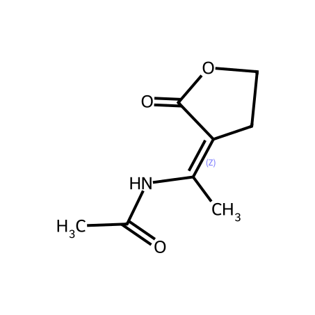 CC(=O)N/C(C)=C1/CCOC1=O